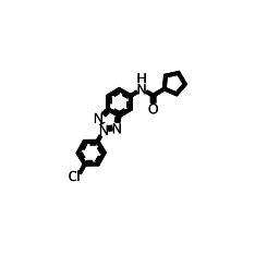 O=C(Nc1ccc2nn(-c3ccc(Cl)cc3)nc2c1)C1CCCC1